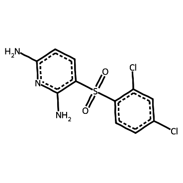 Nc1ccc(S(=O)(=O)c2ccc(Cl)cc2Cl)c(N)n1